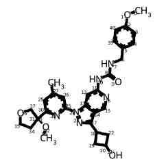 COc1ccc(CNC(=O)Nc2cc3c(cn2)c(C2CC(O)C2)nn3-c2cc(C)cc([C@]3(OC)CCOC3)n2)cc1